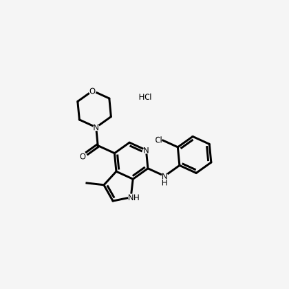 Cc1c[nH]c2c(Nc3ccccc3Cl)ncc(C(=O)N3CCOCC3)c12.Cl